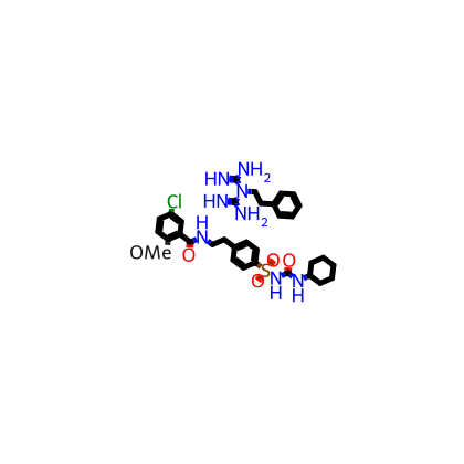 COc1ccc(Cl)cc1C(=O)NCCc1ccc(S(=O)(=O)NC(=O)NC2CCCCC2)cc1.N=C(N)N(CCc1ccccc1)C(=N)N